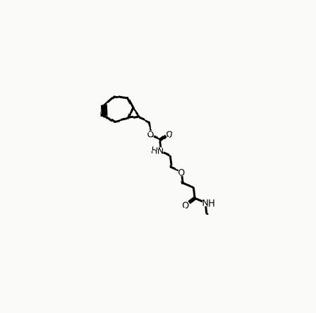 CNC(=O)CCOCCNC(=O)OCC1C2CC#CCCC21